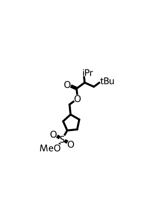 COS(=O)(=O)C1CCC(COC(=O)C(CC(C)(C)C)C(C)C)C1